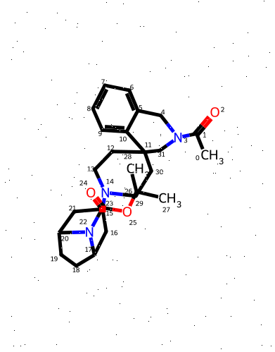 CC(=O)N1Cc2ccccc2C2(CCN(C3CC4CCC(C3)N4C(=O)OC(C)C)CC2)C1